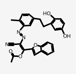 CC(=O)OC(=C(C#N)N=Nc1cc(CCc2cc(O)ccc2O)ccc1C)c1cc2ccccc2o1